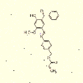 C=CC(=O)OCc1ccc(/N=N/c2cc(C(=O)c3ccccc3)c(O)cc2OC)cc1